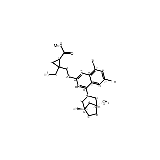 COC(=O)C1CC1(CO)COc1nc(N2C[C@H]3CC[C@@](C)(C3)C2)c2cc(F)cc(F)c2n1